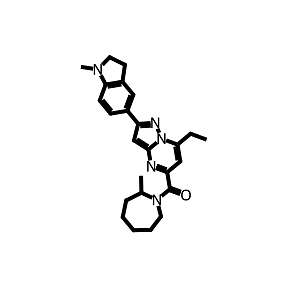 CCc1cc(C(=O)N2CCCCCC2C)nc2cc(-c3ccc4c(c3)CCN4C)nn12